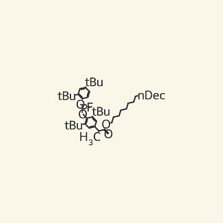 CCCCCCCCCCCCCCCCCCOC(=O)C(C)c1cc(C(C)(C)C)c(OP(F)Oc2ccc(C(C)(C)C)cc2C(C)(C)C)c(C(C)(C)C)c1